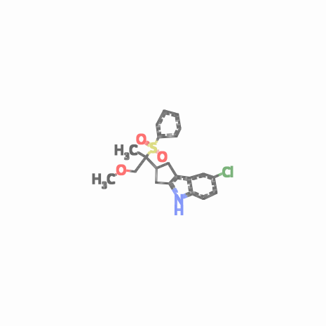 COCC(C)(C1Cc2[nH]c3ccc(Cl)cc3c2C1)S(=O)(=O)c1ccccc1